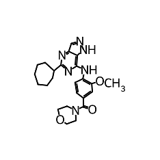 COc1cc(C(=O)N2CCOCC2)ccc1Nc1nc(C2CCCCCC2)nc2cn[nH]c12